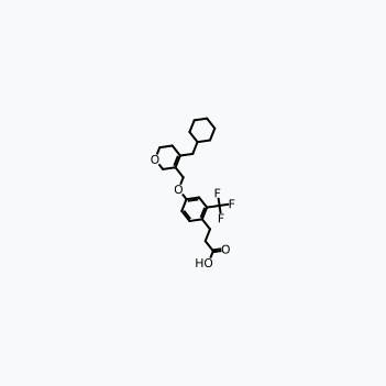 O=C(O)CCc1ccc(OCC2=C(CC3CCCCC3)CCOC2)cc1C(F)(F)F